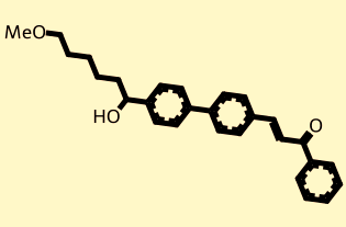 COCCCCCC(O)c1ccc(-c2ccc(C=CC(=O)c3ccccc3)cc2)cc1